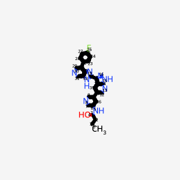 CCCC(O)Nc1cncc(-c2cnc3[nH]nc(-c4nc5c(-c6ccc(F)cc6)cncc5[nH]4)c3c2)c1